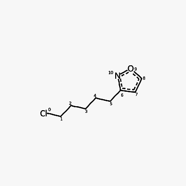 ClCCCCCc1ccon1